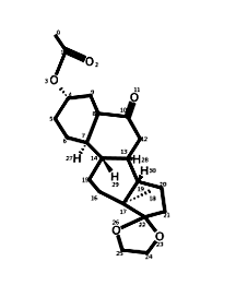 CC(=O)O[C@H]1CC[C@H]2C(C1)C(=O)C[C@@H]1[C@@H]2CC[C@@]2(C)[C@H]1CCC21OCCO1